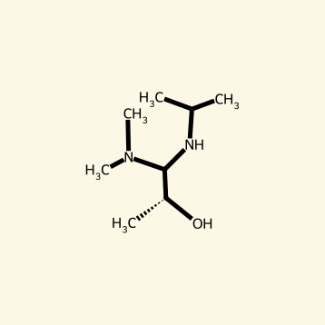 CC(C)NC([C@@H](C)O)N(C)C